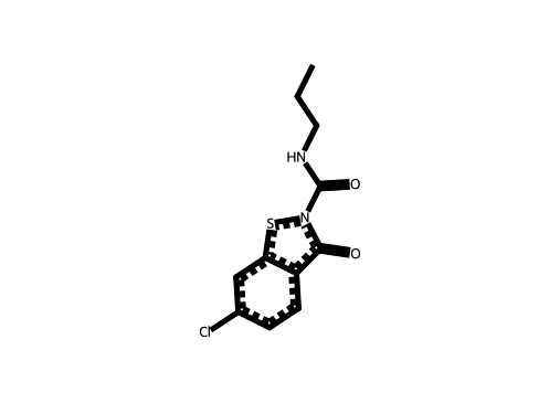 CCCNC(=O)n1sc2cc(Cl)ccc2c1=O